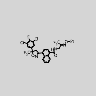 CC(C)O/N=C(/CNC(=O)c1ccc(C2=NOC(c3cc(Cl)c(F)c(Cl)c3)(C(F)(F)F)C2)c2ccccc12)C(F)(F)F